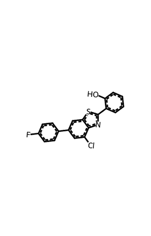 Oc1ccccc1-c1nc2c(Cl)cc(-c3ccc(F)cc3)cc2s1